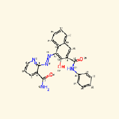 NC(=O)c1cccnc1/N=N/c1c(O)c(C(=O)Nc2ccccc2)cc2ccccc12